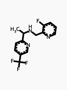 CC(NCc1ncccc1F)c1ccc(C(F)(F)F)cn1